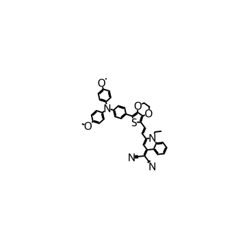 CCN1C(C=Cc2sc(-c3ccc(N(c4ccc(OC)cc4)c4ccc(OC)cc4)cc3)c3c2OCCO3)=CC(=C(C#N)C#N)c2ccccc21